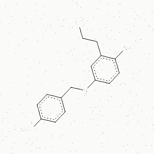 COc1ccc(CNc2ccc(N)c(CCO)c2)cc1